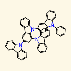 c1ccc(-n2c3ccccc3c3cc(-n4c5ccccc5c5cc(-n6c7ccccc7c7ccccc76)cc(-n6c7ccccc7c7ccccc76)c54)ccc32)cc1